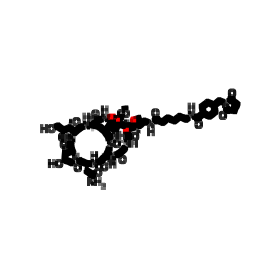 CC[C@H](C)[C@@H]1NC(=O)CNC(=O)[C@@H]2Cc3c([nH]c4c(CSCCNC(=O)CCCCCNC(=O)C5CCC(CN6C(=O)C=CC6=O)CC5)c(OC)ccc34)[S+]([O-])C[C@H](NC(=O)CNC1=O)C(=O)N[C@@H](CC(N)=O)C(=O)N1C[C@H](O)C[C@H]1C(=O)N[C@@H]([C@@H](C)[C@@H](O)CO)C(=O)N2